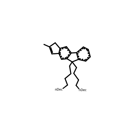 CCCCCCCCCCCCCCC1(CCCCCCCCCCCCCC)c2ccccc2-c2cc3c(cc21)C=C(C)C3